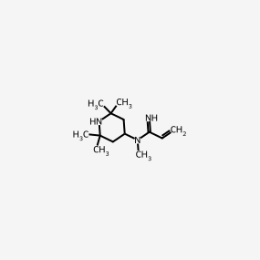 C=CC(=N)N(C)C1CC(C)(C)NC(C)(C)C1